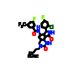 CCCCCCCCCCCCCCN1Cc2cc(NC(=O)c3cc(F)cc(C(F)(F)F)c3)c3c(c2NC1=O)C(=O)NC3c1ccc(F)cc1Cl